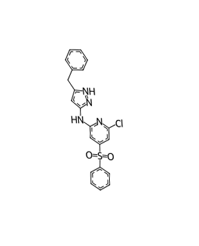 O=S(=O)(c1ccccc1)c1cc(Cl)nc(Nc2cc(Cc3ccccc3)[nH]n2)c1